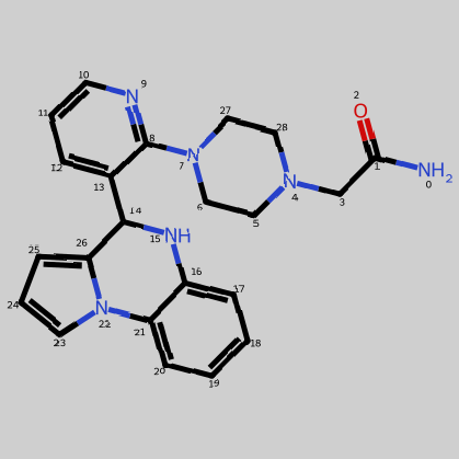 NC(=O)CN1CCN(c2ncccc2C2Nc3ccccc3-n3cccc32)CC1